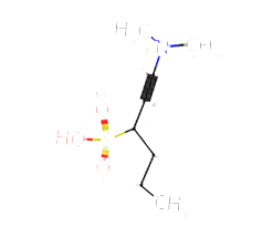 CCCC(C#CN(C)C)S(=O)(=O)O